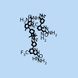 Cc1ccc2c(N)c(C(N)=O)nnc2c1-c1ccc2c(c1)c(C)nn2C.Cn1ncc2cc(-c3c(C(F)(F)F)ccc4c(N)c(C(N)=O)nnc34)ccc21.Cn1ncc2cc(-c3cc(C(F)(F)F)cc4cc(C(=O)NN)nnc34)ccc21